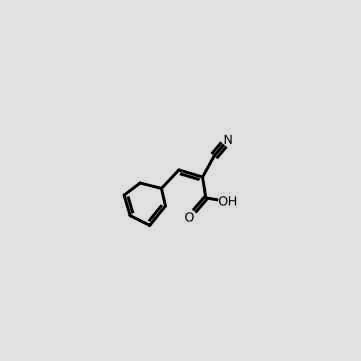 N#CC(=CC1C=CC=CC1)C(=O)O